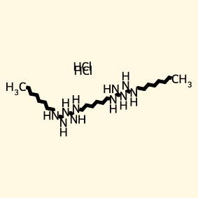 CCCCCCCCNC(=N)NC(=N)NCCCCCCNC(=N)NC(=N)NCCCCCCCC.Cl.Cl